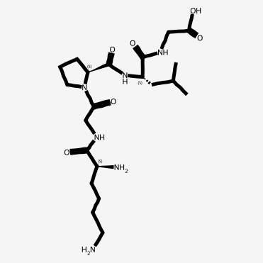 CC(C)C[C@H](NC(=O)[C@@H]1CCCN1C(=O)CNC(=O)[C@@H](N)CCCCN)C(=O)NCC(=O)O